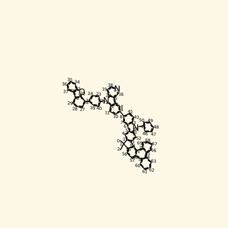 CC1(C)c2cc3c4cc(-c5ccc6c(c5)c5cnccc5n6-c5ccc(-c6cccc7c6oc6ccccc67)cc5)ccc4n(-c4ccccc4)c3cc2-c2c1ccc1c3ccccc3c3ccccc3c21